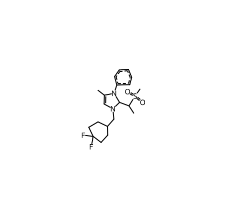 CC1=CN(CC2CCC(F)(F)CC2)C(C(C)S(C)(=O)=O)N1c1ccccc1